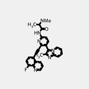 CNC(C)C(=O)Nc1ccc(-c2c(C)nc3ccccn23)c(C#Cc2ccc(F)c3ncccc23)n1